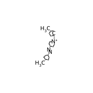 Cc1ccc(C[n+]2ccc(/N=N/c3ccc(C)cc3)cc2)cc1